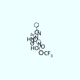 O=C([C@H](O)c1cccc(C(F)(F)F)c1)N1CCc2nc(C3(c4cncc(C5=CCCCC5)c4)CC3)[nH]c(=O)c2C1